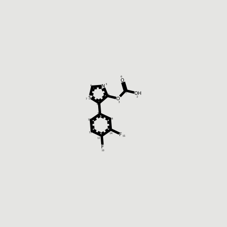 O=C(O)Oc1ncsc1-c1ccc(F)c(F)c1